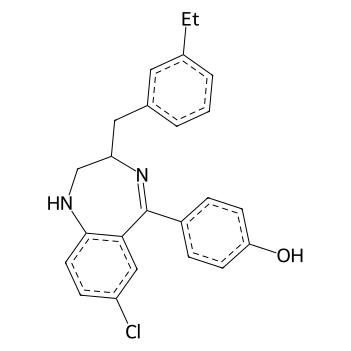 CCc1cccc(CC2CNc3ccc(Cl)cc3C(c3ccc(O)cc3)=N2)c1